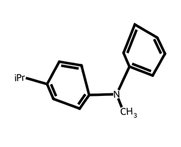 CC(C)c1ccc(N(C)c2ccccc2)cc1